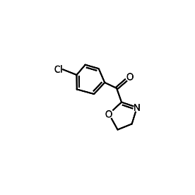 O=C(C1=NCCO1)c1ccc(Cl)cc1